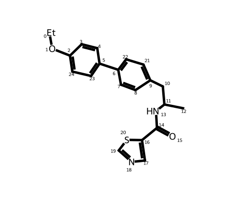 CCOc1ccc(-c2ccc(CC(C)NC(=O)c3cncs3)cc2)cc1